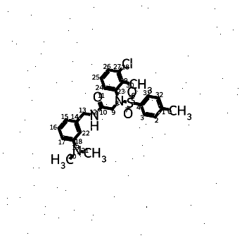 Cc1ccc(S(=O)(=O)N(CC(=O)NCc2cccc(N(C)C)c2)c2cccc(Cl)c2C)cc1